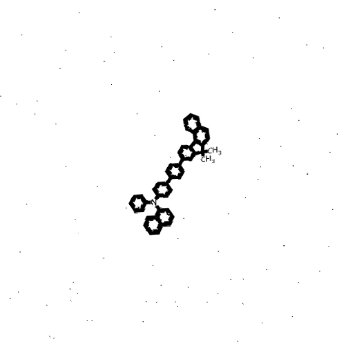 CC1(C)c2cc(-c3ccc(-c4ccc(N(c5ccccc5)c5cccc6ccccc56)cc4)cc3)ccc2-c2c1ccc1ccccc21